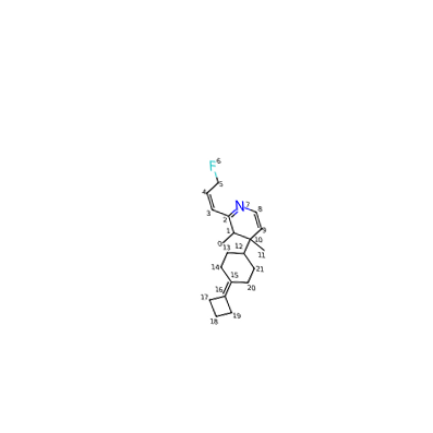 CC1C(/C=C\CF)=NC=CC1(C)C1CCC(=C2CCC2)CC1